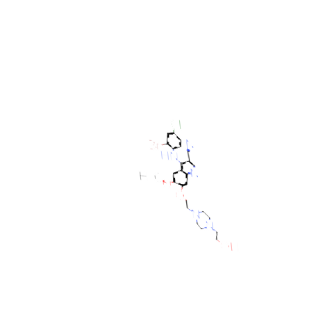 COc1cc2c(Nc3ccc(Cl)cc3Br)c(C#N)cnc2cc1OCCN1CCN(CCO)CC1